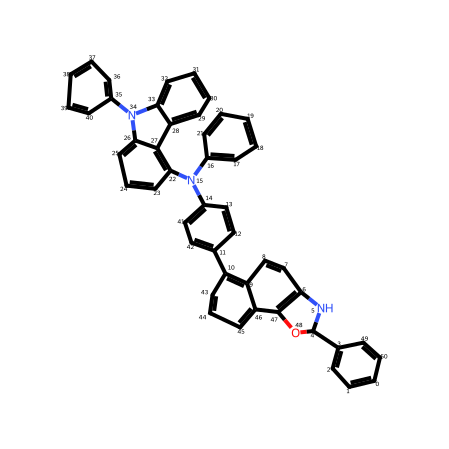 c1ccc(C2Nc3ccc4c(-c5ccc(N(c6ccccc6)c6cccc7c6c6ccccc6n7-c6ccccc6)cc5)cccc4c3O2)cc1